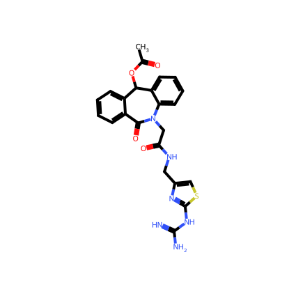 CC(=O)OC1c2ccccc2C(=O)N(CC(=O)NCc2csc(NC(=N)N)n2)c2ccccc21